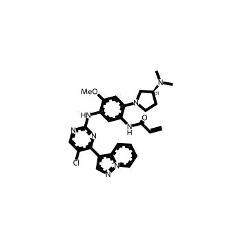 C=CC(=O)Nc1cc(Nc2ncc(Cl)c(-c3cnn4ccccc34)n2)c(OC)cc1N1CC[C@H](N(C)C)C1